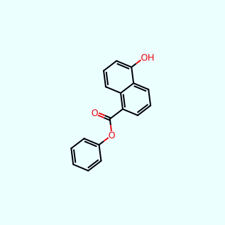 O=C(Oc1ccccc1)c1cccc2c(O)cccc12